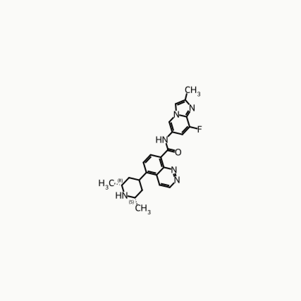 Cc1cn2cc(NC(=O)c3ccc(C4C[C@@H](C)N[C@@H](C)C4)c4ccnnc34)cc(F)c2n1